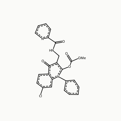 COC(=O)Oc1c(CNC(=O)c2ccccn2)c(=O)c2ccc(Cl)cc2n1-c1ccccc1